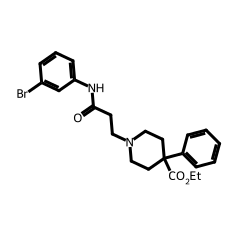 CCOC(=O)C1(c2ccccc2)CCN(CCC(=O)Nc2cccc(Br)c2)CC1